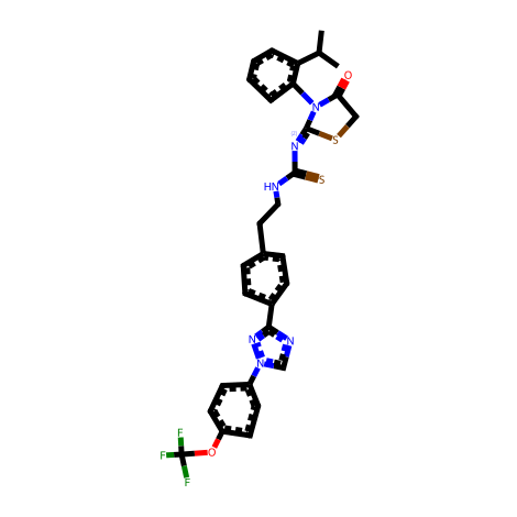 CC(C)c1ccccc1N1C(=O)CS/C1=N\C(=S)NCCc1ccc(-c2ncn(-c3ccc(OC(F)(F)F)cc3)n2)cc1